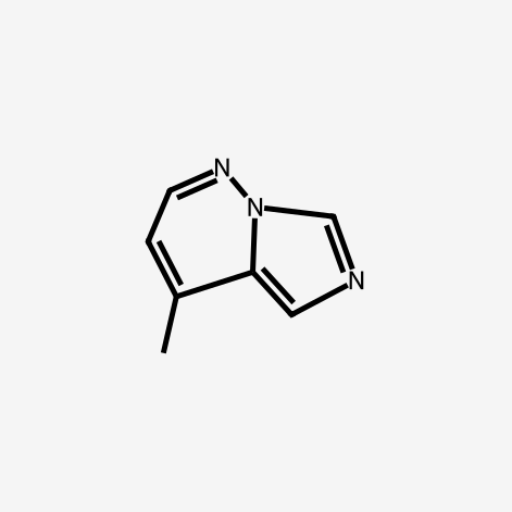 Cc1ccnn2cncc12